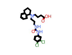 O=C(O)CCCN(CCCNC(=O)Nc1ccc(Cl)c(Cl)c1)C1CCCc2ccccc21